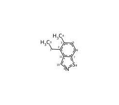 CCc1c(C)ccc2sncc12